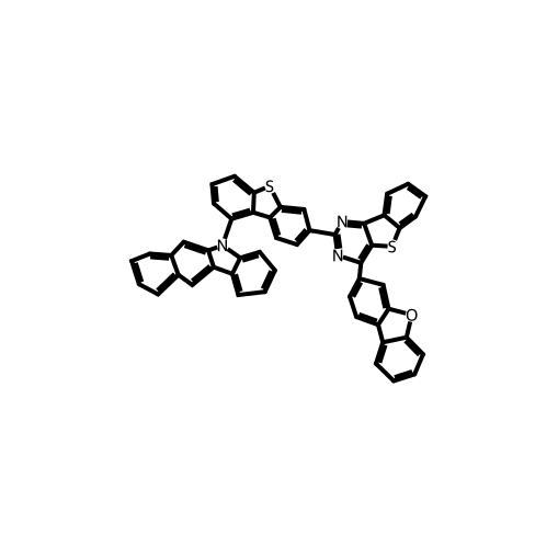 c1ccc2cc3c(cc2c1)c1ccccc1n3-c1cccc2sc3cc(-c4nc(-c5ccc6c(c5)oc5ccccc56)c5sc6ccccc6c5n4)ccc3c12